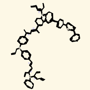 C=C/C=C(\C=C)N(/C(C=C)=C/C=C/c1ccc(N(CC=C)c2ccc(/C(C)=C/C=C(\C)C3=Cc4c(n(/C(C=C)=C/C=C)c5ccc(C6=CCC(c7ccc(-c8ccccc8)s7)C=C6)cc45)CC3)cc2)cc1)c1ccccc1